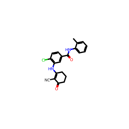 Cc1ccccc1NC(=O)c1ccc(Cl)c(NC2=C(C#N)C(=O)CCC2)c1